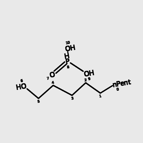 CCCCCCCCCCO.O=[PH](O)O